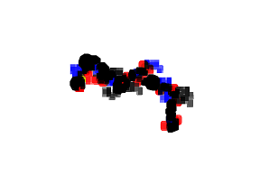 Cc1c(-c2ccc(N3CCc4cccc(C(=O)Nc5nc6ccccc6s5)c4C3)nc2C(=O)O)cnn1CC12CC3(C)CC(C)(C1)CC(OCCN(CCS(N)(=O)=O)C(=O)OCc1ccc(NC(=O)CNC(=O)C(NC(=O)CCCCCN4C(=O)C=CC4=O)C(C)C)cc1)(C3)C2